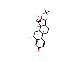 CC1(C)O[C@@H]2C[C@H]3[C@@H]4C[C@H](F)C5=CC(=O)C=C[C@]5(C)[C@@]4(Cl)[C@@H](Cl)C[C@]3(C)[C@]2(C2(C#N)CO2)O1